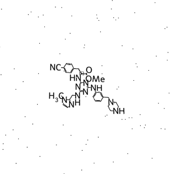 COC(=O)[C@H](Cc1ccc(C#N)cc1)Nc1nc(NCc2nccn2C)nc(Nc2cccc(CN3CCNCC3)c2)n1